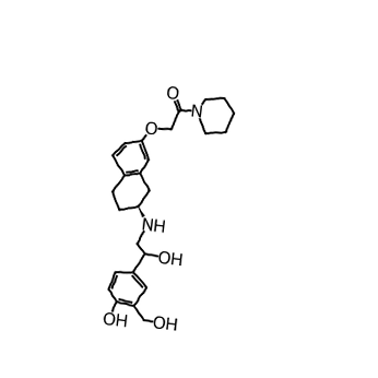 O=C(COc1ccc2c(c1)C[C@@H](NCC(O)c1ccc(O)c(CO)c1)CC2)N1CCCCC1